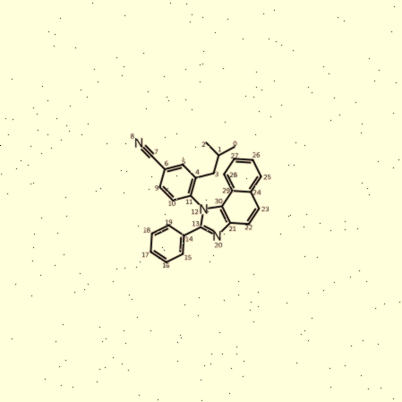 CC(C)Cc1cc(C#N)ccc1-n1c(-c2ccccc2)nc2ccc3ccccc3c21